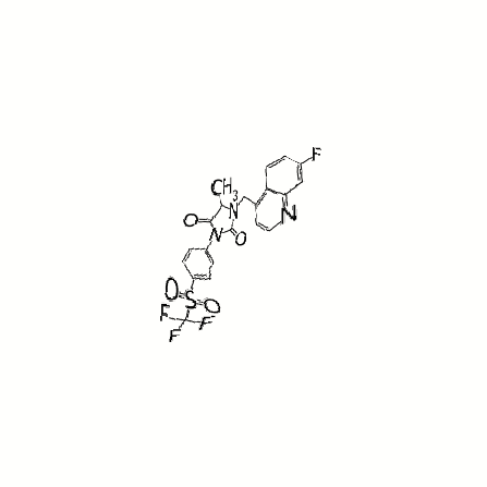 CC1C(=O)N(c2ccc(S(=O)(=O)C(F)(F)F)cc2)C(=O)N1Cc1ccnc2cc(F)ccc12